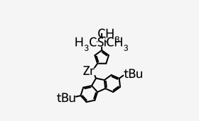 CC(C)(C)c1ccc2c(c1)[CH]([Zr][C]1=CC([Si](C)(C)C)=CC1)c1cc(C(C)(C)C)ccc1-2